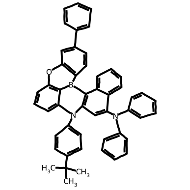 CC(C)(C)c1ccc(N2c3cccc4c3B(c3ccc(-c5ccccc5)cc3O4)c3c2cc(N(c2ccccc2)c2ccccc2)c2ccccc32)cc1